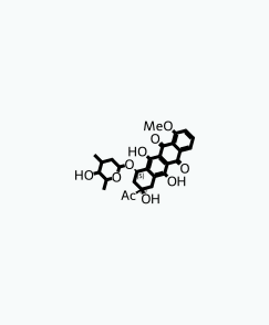 COc1cccc2c1C(=O)c1c(O)c3c(c(O)c1C2=O)C[C@@](O)(C(C)=O)C[C@@H]3OC1CC(C)C(O)C(C)O1